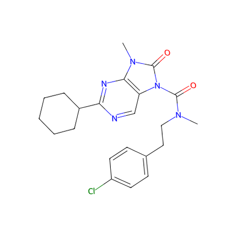 CN(CCc1ccc(Cl)cc1)C(=O)n1c(=O)n(C)c2nc(C3CCCCC3)ncc21